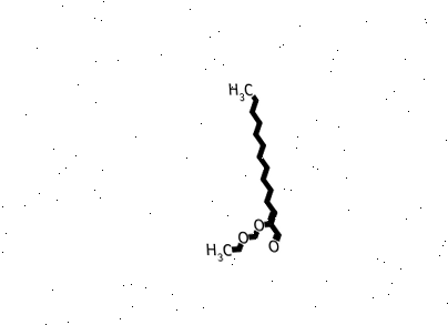 CCCCCCCCCCCC=C(C=O)OCOCC